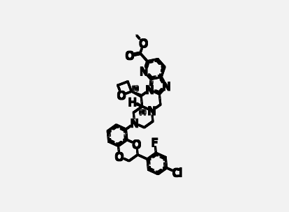 COC(=O)c1ccc2nc3n(c2n1)C([C@@H]1CCO1)[C@H]1CN(c2cccc4c2OC(c2ccc(Cl)cc2F)CO4)CCN1C3